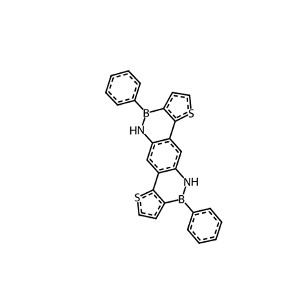 c1ccc(B2Nc3cc4c(cc3-c3sccc32)NB(c2ccccc2)c2ccsc2-4)cc1